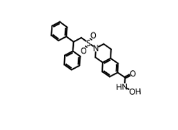 O=C(NO)c1ccc2c(c1)CCN(S(=O)(=O)CC(c1ccccc1)c1ccccc1)C2